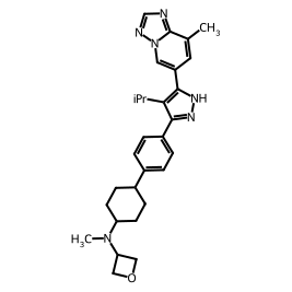 Cc1cc(-c2[nH]nc(-c3ccc(C4CCC(N(C)C5COC5)CC4)cc3)c2C(C)C)cn2ncnc12